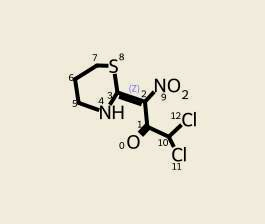 O=C(/C(=C1\NCCCS1)[N+](=O)[O-])C(Cl)Cl